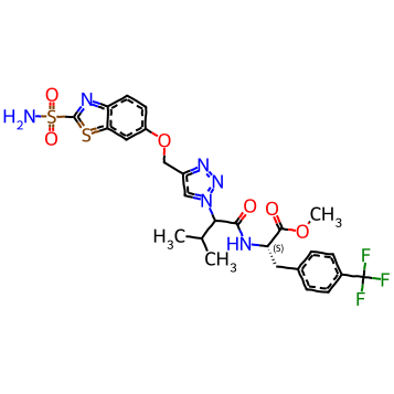 COC(=O)[C@H](Cc1ccc(C(F)(F)F)cc1)NC(=O)C(C(C)C)n1cc(COc2ccc3nc(S(N)(=O)=O)sc3c2)nn1